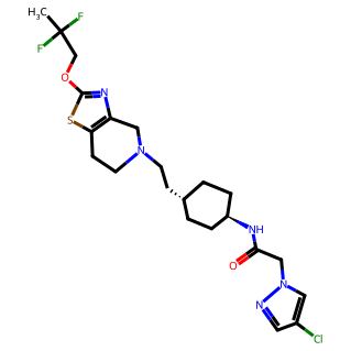 CC(F)(F)COc1nc2c(s1)CCN(CC[C@H]1CC[C@H](NC(=O)Cn3cc(Cl)cn3)CC1)C2